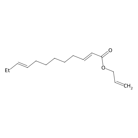 C=CCOC(=O)C=CCCCCCC=CCC